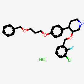 Cl.Fc1c(Cl)cccc1COC1CNCCC1c1ccc(OCCCOCc2ccccc2)cc1